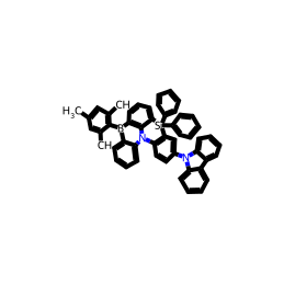 Cc1cc(C)c(B2c3ccccc3N3c4ccc(-n5c6ccccc6c6ccccc65)cc4[Si](c4ccccc4)(c4ccccc4)c4cccc2c43)c(C)c1